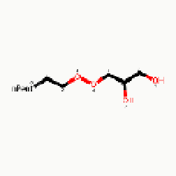 CCCCCCCOOCC(O)CO